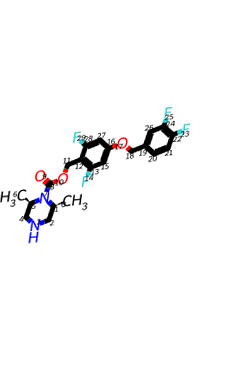 C[C@@H]1CNC[C@H](C)N1C(=O)OCc1c(F)cc(OCc2ccc(F)c(F)c2)cc1F